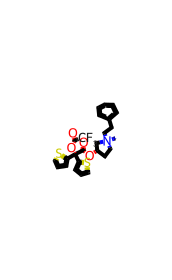 C[N+]1(CCc2ccccc2)CCC(OC(=O)C(OC(=O)C(F)(F)F)(c2cccs2)c2cccs2)C1